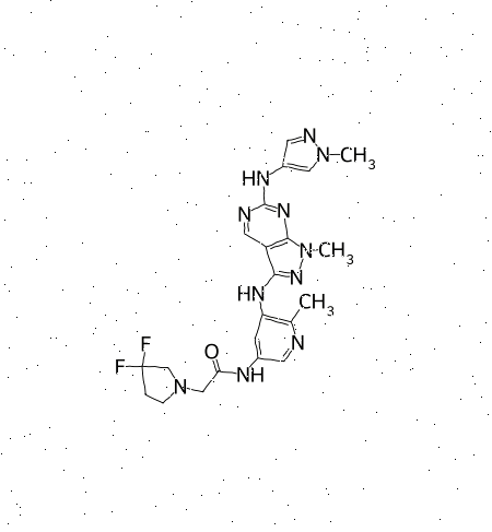 Cc1ncc(NC(=O)CN2CCC(F)(F)C2)cc1Nc1nn(C)c2nc(Nc3cnn(C)c3)ncc12